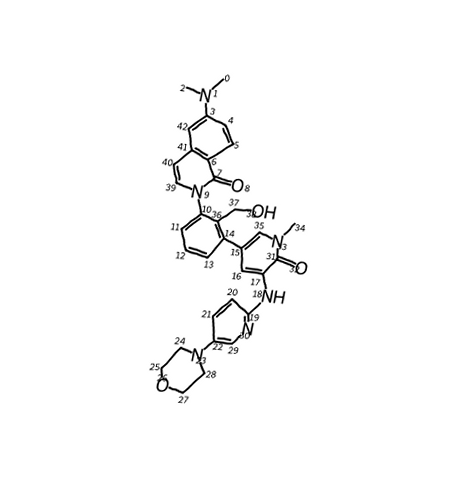 CN(C)c1ccc2c(=O)n(-c3cccc(-c4cc(Nc5ccc(N6CCOCC6)cn5)c(=O)n(C)c4)c3CO)ccc2c1